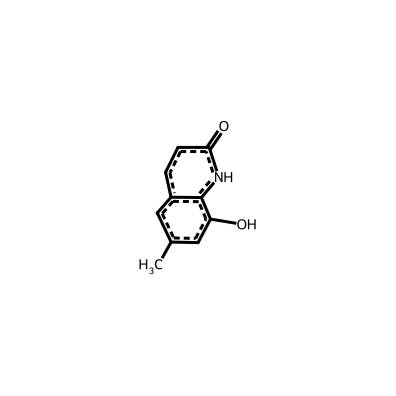 Cc1cc(O)c2[nH]c(=O)ccc2c1